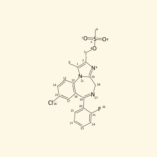 Cc1c(COS(C)(=O)=O)nc2n1-c1ccc(Cl)cc1C(c1ccccc1F)=NC2